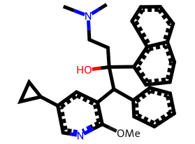 COc1ncc(C2CC2)cc1C(c1ccccc1)C(O)(CCN(C)C)c1cccc2ccccc12